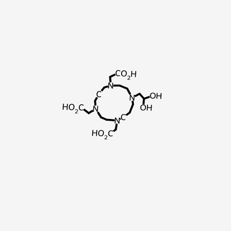 O=C(O)CN1CCCN(CC(=O)O)CCN(CC(O)O)CCCN(CC(=O)O)CC1